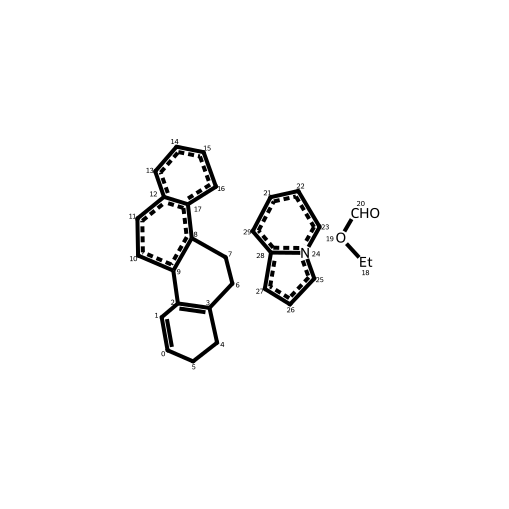 C1=CC2=C(CC1)CCc1c2ccc2ccccc12.CCOC=O.c1ccn2cccc2c1